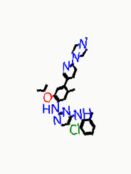 Cc1ccccc1Nc1nc(Nc2cc(C)c(-c3ccc(N4CCN(C)CC4)nc3)cc2OC(C)C)ncc1Cl